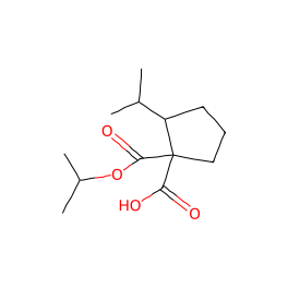 CC(C)OC(=O)C1(C(=O)O)CCCC1C(C)C